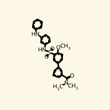 COc1ccc(-c2cccc(C(=O)N(C)C)c2)cc1S(=O)(=O)Nc1cccc(Nc2ccccc2)c1